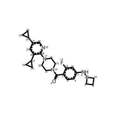 O=C(c1ccc(NB2CCC2)cc1F)N1CCN(c2ncc(C3CC3)cc2C2CC2)CC1